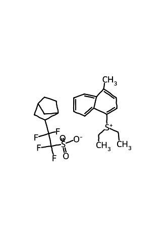 CC[S+](CC)c1ccc(C)c2ccccc12.O=S(=O)([O-])C(F)(F)C(F)(F)C1CC2CCC1C2